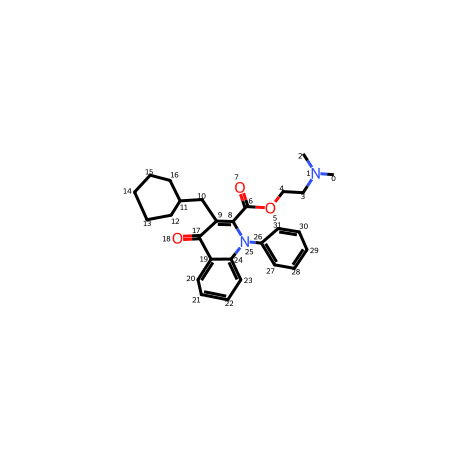 CN(C)CCOC(=O)c1c(CC2CCCCC2)c(=O)c2ccccc2n1-c1ccccc1